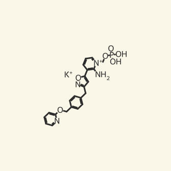 Nc1c(-c2cc(Cc3ccc(COc4ccccn4)cc3)no2)ccc[n+]1COP(=O)(O)O.[K+]